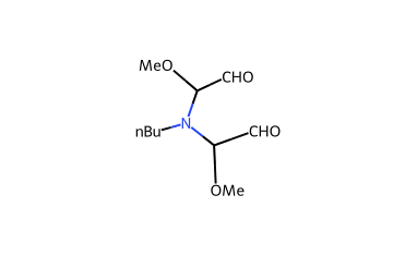 CCCCN(C(C=O)OC)C(C=O)OC